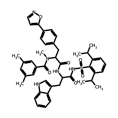 Cc1cc(C)cc(C(=O)N(C)C(Cc2ccc(-c3ccno3)cc2)C(=O)NC(Cc2c[nH]c3ccccc23)C(=O)NS(=O)(=O)c2c(C(C)C)cccc2C(C)C)c1